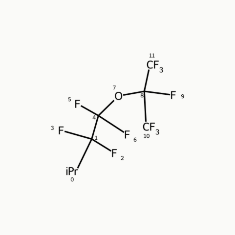 CC(C)C(F)(F)C(F)(F)OC(F)(C(F)(F)F)C(F)(F)F